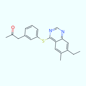 CCc1cc2ncnc(Sc3cccc(CC(C)=O)c3)c2cc1C